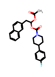 CC(=O)OC(Cc1ccc2ccccc2c1)OC(=O)N1CCC(c2ccc(F)cc2)CC1